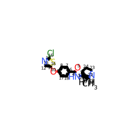 C[C@H]1[C@H](NC(=O)c2ccc(Oc3cnc(Cl)s3)cc2)C2CCN1CC2